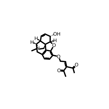 CC(=O)C(=CCOc1ccc2c3c1O[C@H]1[C@@H](O)C=C[C@H]4[C@@H](C2)N(C)CC[C@@]341)C(C)=O